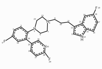 Fc1ccc(N2CCN(CCCc3c[nH]c4ccc(F)cc34)CC2)c(-c2ccc(F)nc2)c1